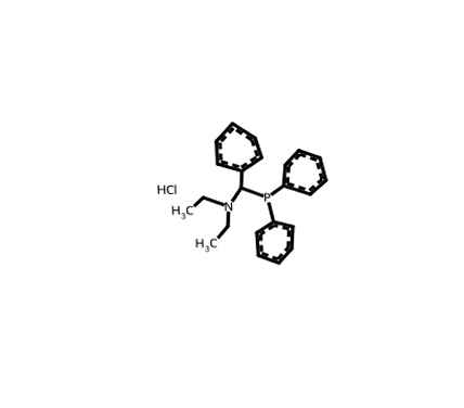 CCN(CC)C(c1ccccc1)P(c1ccccc1)c1ccccc1.Cl